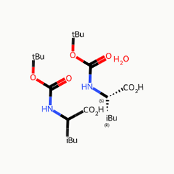 CCC(C)C(NC(=O)OC(C)(C)C)C(=O)O.CC[C@@H](C)[C@H](NC(=O)OC(C)(C)C)C(=O)O.O